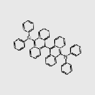 C1=c2c(-c3c4ccccc4c(N(c4ccccc4)c4ccccc4)c4ccccc34)c3ccccc3c(N(c3ccccc3)c3ccccc3)c2=CCC1